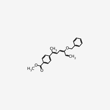 C=C/C(=C\C=C(/C)c1ccc(C(=O)OC)cc1)OCc1ccccc1